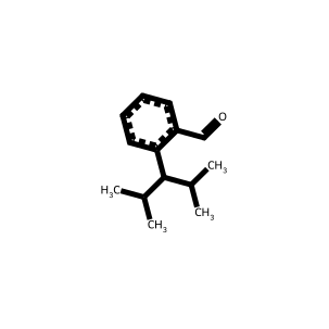 CC(C)C(c1ccccc1C=O)C(C)C